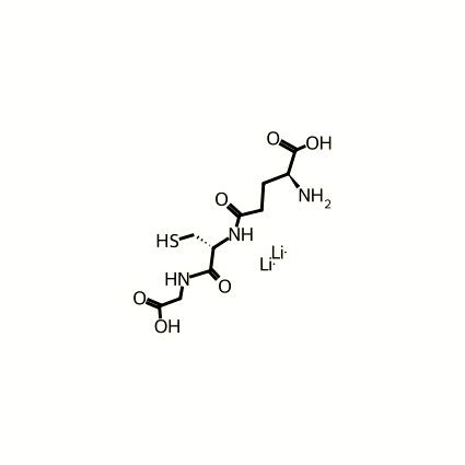 N[C@@H](CCC(=O)N[C@@H](CS)C(=O)NCC(=O)O)C(=O)O.[Li].[Li]